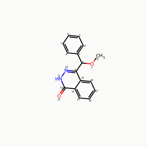 COC(c1ccccc1)c1n[nH]c(=O)c2ccccc12